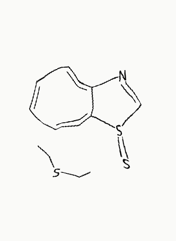 CSC.S=S1C=Nc2ccccc21